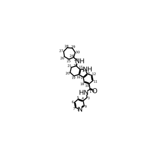 O=C(NCc1cccnc1)c1ccc2[nH]c3c(c2c1)CCCC3NC1CCCCCC1